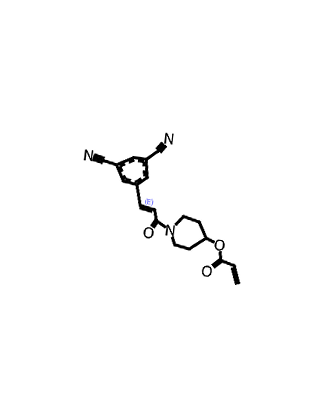 C=CC(=O)OC1CCN(C(=O)/C=C/c2cc(C#N)cc(C#N)c2)CC1